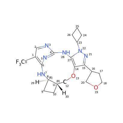 FC(F)(F)c1cnc2nc1N[C@@H]1CC[C@H]1COc1c(C3CCOC3)nn(C3CCC3)c1N2